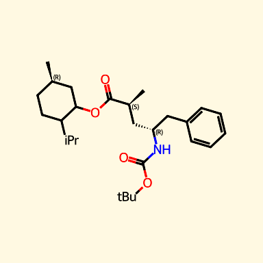 CC(C)C1CC[C@@H](C)CC1OC(=O)[C@@H](C)C[C@H](Cc1ccccc1)NC(=O)OC(C)(C)C